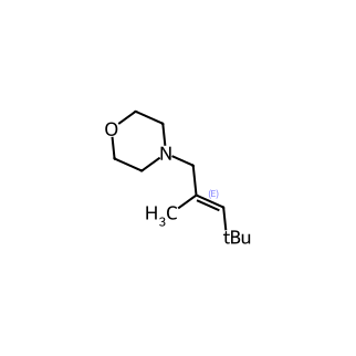 C/C(=C\C(C)(C)C)CN1CCOCC1